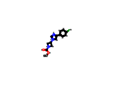 CC(C)(C)OC(=O)N1CC(n2cnc(-c3ccc(F)cc3)c2)C1